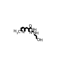 Cc1ccc(Cc2cnc(NCCCO)[nH]c2=O)cn1